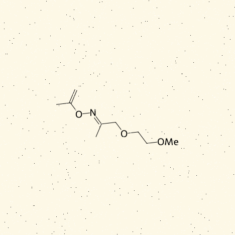 C=C(C)O/N=C(\C)COCCOC